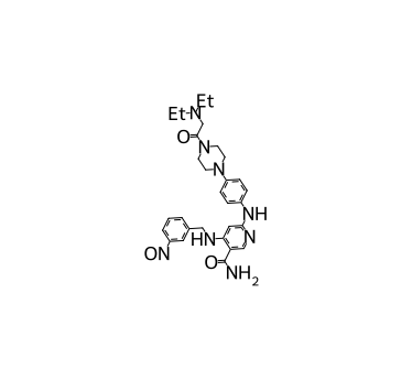 CCN(CC)CC(=O)N1CCN(c2ccc(Nc3cc(NCc4cccc(N=O)c4)c(C(N)=O)cn3)cc2)CC1